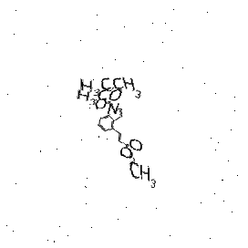 CCOC(=O)C=Cc1cccc2c1ccn2C(=O)OC(C)(C)C